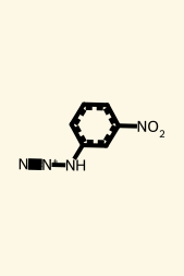 N#[N+]Nc1cccc([N+](=O)[O-])c1